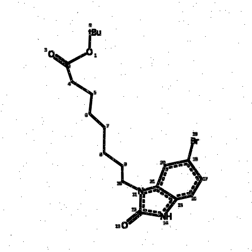 CC(C)(C)OC(=O)CCCCCCCn1c(=O)[nH]c2ccc(Br)cc21